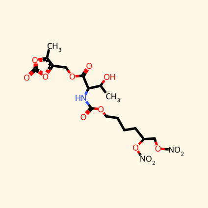 Cc1oc(=O)oc1COC(=O)C(NC(=O)OCCCCC(CO[N+](=O)[O-])O[N+](=O)[O-])C(C)O